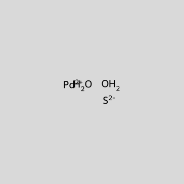 O.O.[Pd+2].[S-2]